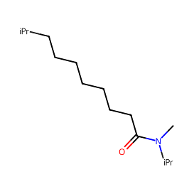 CC(C)CCCCCCCC(=O)N(C)C(C)C